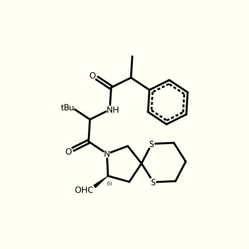 CC(C(=O)NC(C(=O)N1CC2(C[C@H]1C=O)SCCCS2)C(C)(C)C)c1ccccc1